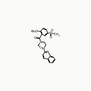 CC(C)COc1ccc(S(C)(=O)=O)cc1C(=O)N1CCN(c2ccc3ccccc3n2)CC1